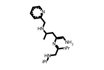 CCC/C(CNC(C)C)=N\C(=C/N)CC(C)NCc1ccccn1